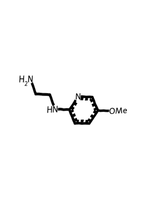 COc1ccc(NCCN)nc1